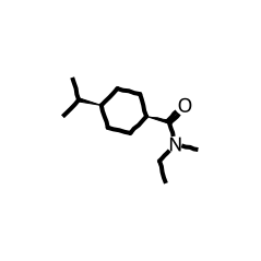 CCN(C)C(=O)[C@H]1CC[C@@H](C(C)C)CC1